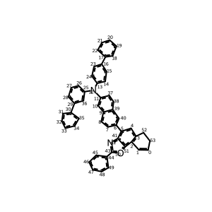 C1=Cc2c(cc(-c3ccc4cc(N(c5ccc(-c6ccccc6)cc5)c5cccc(-c6ccccc6)c5)ccc4c3)c3nc(-c4ccccc4)oc23)CC1